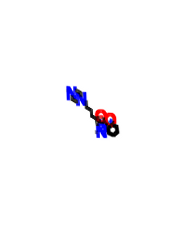 C=N[N+]1(c2ccccc2)CC(CCCCN2CCN(C)CC2)OC1=O